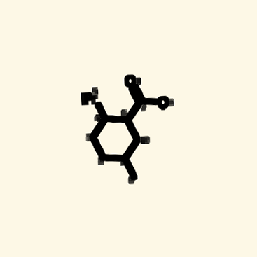 CC1CCC(C(C)C)C(C([O])=O)C1